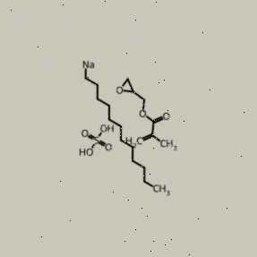 C=C(C)C(=O)OCC1CO1.CCCCCCCCCCC[CH2][Na].O=S(=O)(O)O